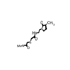 CNC(=O)CSCC(=O)NCCN1CC[C@H](C)C1=O